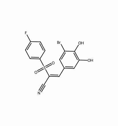 N#CC(=Cc1cc(O)c(O)c(Br)c1)S(=O)(=O)c1ccc(F)cc1